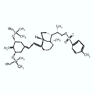 C=C1[C@@H](O[Si](C)(C)C(C)(C)C)C/C(=C\C=C2/CCC[C@]3(C)[C@@H]([C@H](C)COS(=O)(=O)c4ccc(C)cc4)CC[C@@H]23)C[C@H]1O[Si](C)(C)C(C)(C)C